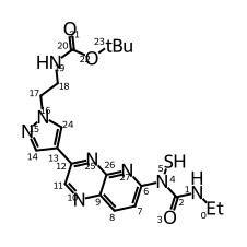 CCNC(=O)N(S)c1ccc2ncc(-c3cnn(CCNC(=O)OC(C)(C)C)c3)nc2n1